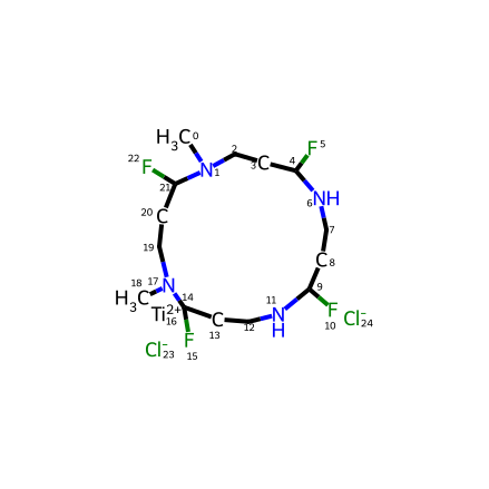 CN1CCC(F)NCCC(F)NCC[C](F)([Ti+2])N(C)CCC1F.[Cl-].[Cl-]